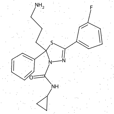 NCCCC1(c2ccccc2)SC(c2cccc(F)c2)=NN1C(=O)NC1CC1